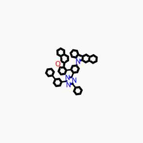 c1ccc(-c2cccc(-c3nc(-c4ccccc4)nc(-c4ccc(-n5c6ccccc6c6cc7ccccc7cc65)cc4-c4cccc5oc6c7ccccc7ccc6c45)n3)c2)cc1